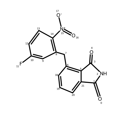 O=C1NC(=O)c2c(Cc3cc(F)ccc3[N+](=O)[O-])cccc21